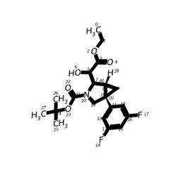 CCOC(=O)C(O)C1[C@@H]2C[C@]2(c2cc(F)cc(F)c2)CN1C(=O)OC(C)(C)C